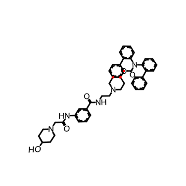 O=C(CN1CCC(O)CC1)Nc1cccc(C(=O)NCCN2CCC(OC(=O)N(c3ccccc3-c3ccccc3)c3ccccc3-c3ccccc3)CC2)c1